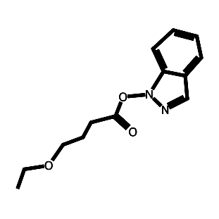 CCOCCCC(=O)On1ncc2ccccc21